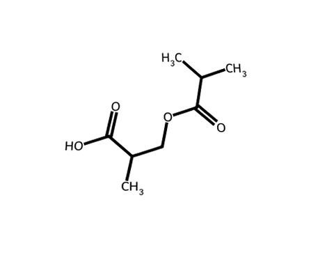 CC(C)C(=O)OCC(C)C(=O)O